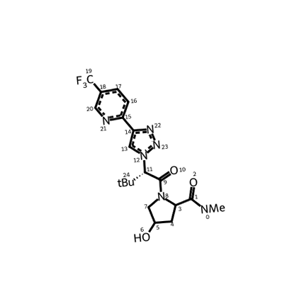 CNC(=O)C1CC(O)CN1C(=O)[C@@H](n1cc(-c2ccc(C(F)(F)F)cn2)nn1)C(C)(C)C